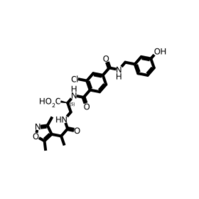 Cc1noc(C)c1C(C)C(=O)NC[C@H](NC(=O)c1ccc(C(=O)NCc2cccc(O)c2)cc1Cl)C(=O)O